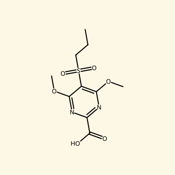 CCCS(=O)(=O)c1c(OC)nc(C(=O)O)nc1OC